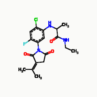 CCNC(=O)C(C)Nc1cc(N2C(=O)CC(=C(C)C)C2=O)c(F)cc1Cl